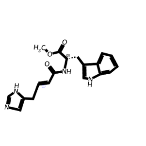 COC(=O)[C@H](Cc1c[nH]c2ccccc12)NC(=O)/C=C/Cc1cnc[nH]1